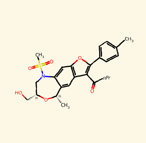 CCCC(=O)c1c(-c2ccc(C)cc2)oc2cc3c(cc12)[C@H](C)O[C@H](CO)CN3S(C)(=O)=O